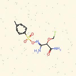 Cc1ccc(S(=O)(=O)ON=C(N)C(OCF)C(N)=O)cc1